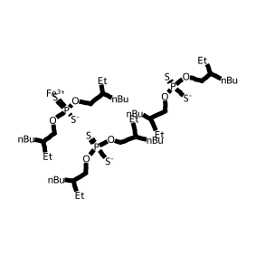 CCCCC(CC)COP(=S)([S-])OCC(CC)CCCC.CCCCC(CC)COP(=S)([S-])OCC(CC)CCCC.CCCCC(CC)COP(=S)([S-])OCC(CC)CCCC.[Fe+3]